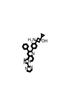 N[C@]1(c2ccc(-c3nc4ccn5c(-c6ncccn6)nnc5c4cc3-c3ccccc3)cc2)C[C@@](O)(C2CC2)C1